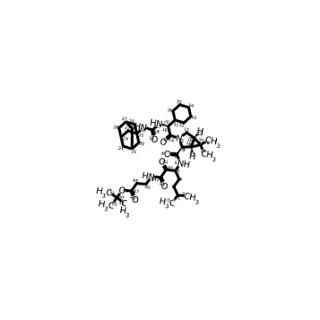 CC(C)CCC(NC(=O)[C@@H]1[C@@H]2[C@H](CN1C(=O)[C@@H](NC(=O)NC13CC4CC(CC(C4)C1)C3)C1CCCCC1)C2(C)C)C(=O)C(=O)NCCC(=O)OC(C)(C)C